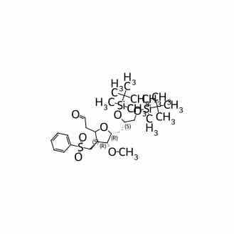 CO[C@H]1[C@@H](C[C@@H](CO[Si](C)(C)C(C)(C)C)O[Si](C)(C)C(C)(C)C)OC(CC=O)[C@@H]1CS(=O)(=O)c1ccccc1